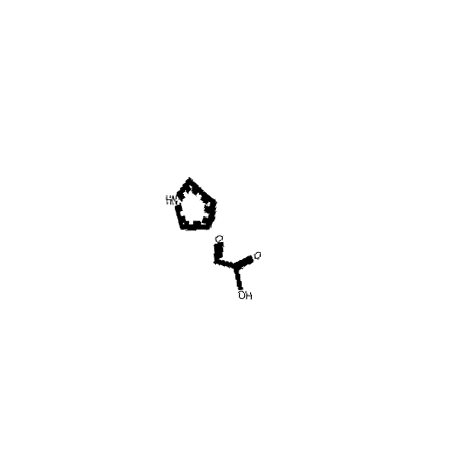 O=CC(=O)O.c1cc[nH]c1